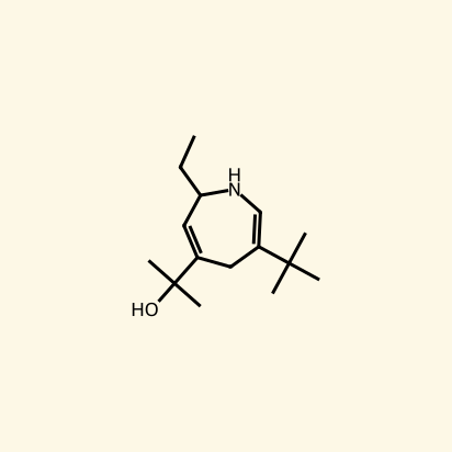 CCC1C=C(C(C)(C)O)CC(C(C)(C)C)=CN1